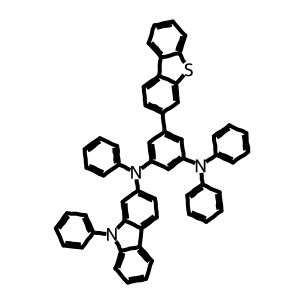 c1ccc(N(c2ccccc2)c2cc(-c3ccc4c(c3)sc3ccccc34)cc(N(c3ccccc3)c3ccc4c5ccccc5n(-c5ccccc5)c4c3)c2)cc1